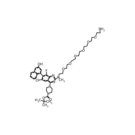 CN(CCOCCOCCOCCOCCOCCOCCN)c1nc(N2CCN(C(=O)OC(C)(C)C)CC2)c2cc(Cl)c(-c3cc(O)cc4ccccc34)c(F)c2n1